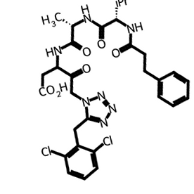 CC(C)[C@H](NC(=O)CCc1ccccc1)C(=O)N[C@@H](C)C(=O)NC(CC(=O)O)C(=O)Cn1nnnc1Cc1c(Cl)cccc1Cl